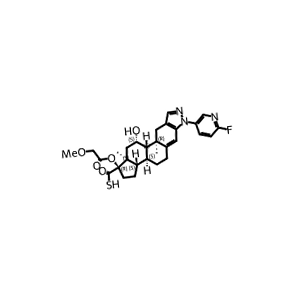 COCC(=O)O[C@]1(C(=O)S)CC[C@H]2[C@@H]3CCC4=Cc5c(cnn5-c5ccc(F)nc5)C[C@]4(C)[C@H]3[C@@H](O)C[C@@]21C